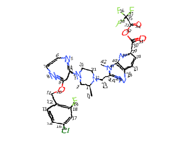 C[C@H]1CN(c2nccnc2OCc2ccc(Cl)cc2F)CCN1Cc1nc2ccc(C(=O)OC(=O)C(F)(F)F)nc2n1C